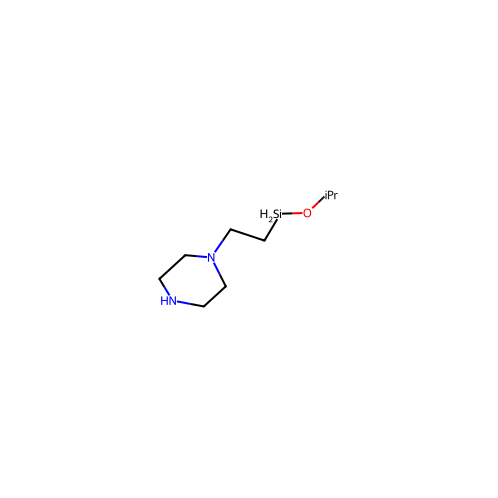 CC(C)O[SiH2]CCN1CCNCC1